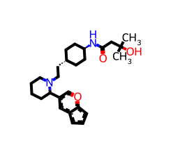 CC(C)(O)CC(=O)N[C@H]1CC[C@H](CCN2CCCCC2c2coc3cccc-3c2)CC1